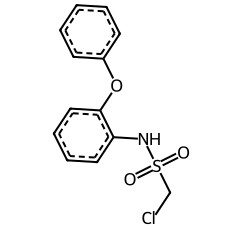 O=S(=O)(CCl)Nc1ccccc1Oc1ccccc1